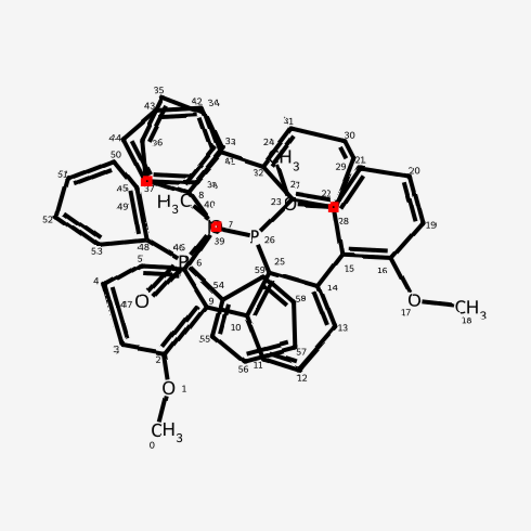 COc1cccc(OC)c1-c1cccc(-c2c(OC)cccc2OC)c1P(c1ccccc1-c1ccccc1)N(c1ccccc1)P(=O)(c1ccccc1)c1ccccc1